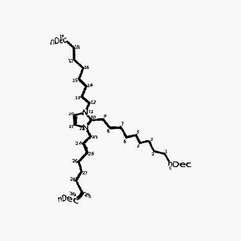 CCCCCCCCCCCCCCCCCCCC1N(CCCCCCCCCCCCCCCCC)C=CN1CCCCCCCCCCCCCCCCC